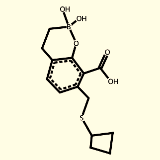 O=C(O)c1c(CSC2CCC2)ccc2c1O[B-](O)(O)CC2